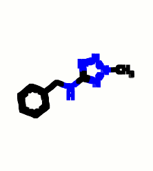 Cn1nnc(NCc2ccccc2)n1